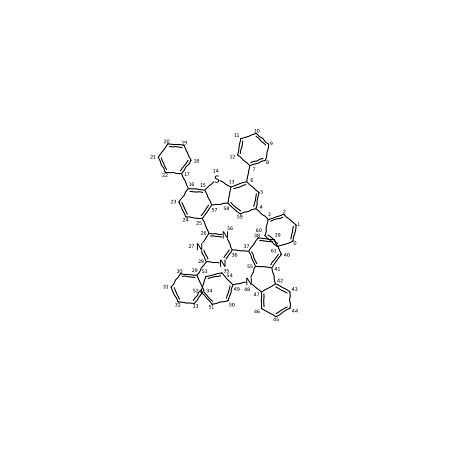 c1ccc(-c2cc(-c3ccccc3)c3sc4c(-c5ccccc5)ccc(-c5nc(-c6ccccc6)nc(-c6cccc7c8ccccc8n(-c8ccccc8)c67)n5)c4c3c2)cc1